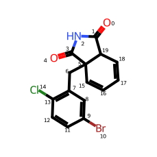 O=C1NC(=O)C2(Cc3cc(Br)ccc3Cl)C=CC=CC12